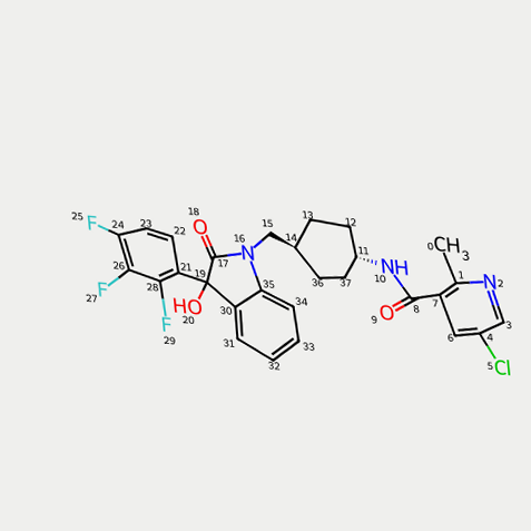 Cc1ncc(Cl)cc1C(=O)N[C@H]1CC[C@H](CN2C(=O)C(O)(c3ccc(F)c(F)c3F)c3ccccc32)CC1